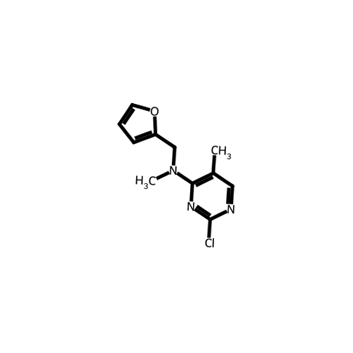 Cc1cnc(Cl)nc1N(C)Cc1ccco1